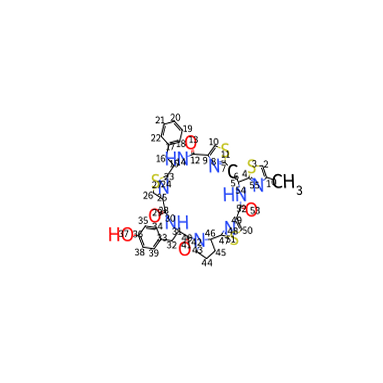 Cc1csc(C2Cc3nc(cs3)C(=O)NC(Cc3ccccc3)C3=NC(CS3)C(=O)NC(Cc3ccc(O)cc3)C(=O)N3CCCC3c3nc(cs3)C(=O)N2)n1